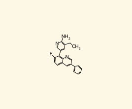 CCc1cc(-c2c(F)ccc3cc(-c4ccccc4)cnc23)cnc1N